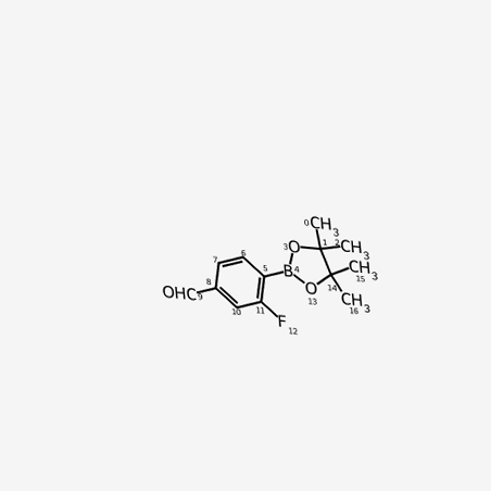 CC1(C)OB(c2ccc(C=O)cc2F)OC1(C)C